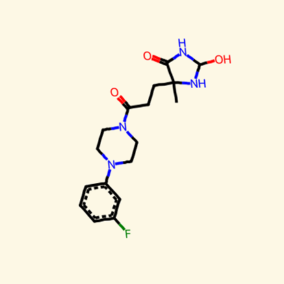 CC1(CCC(=O)N2CCN(c3cccc(F)c3)CC2)NC(O)NC1=O